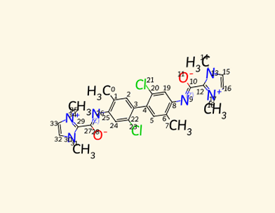 Cc1cc(-c2cc(C)c(/N=C(\[O-])c3n(C)cc[n+]3C)cc2Cl)c(Cl)cc1/N=C(\[O-])c1n(C)cc[n+]1C